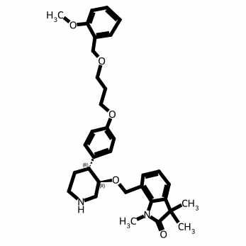 COc1ccccc1COCCCOc1ccc([C@H]2CCNC[C@@H]2OCc2cccc3c2N(C)C(=O)C3(C)C)cc1